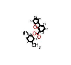 CC1CCC(C(C)C)C(OC(=O)c2cccc3c2OC2CC=CC32)C1